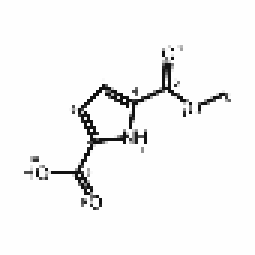 COC(=O)c1ccc(C(=O)O)[nH]1